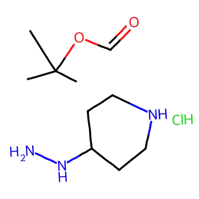 CC(C)(C)OC=O.Cl.NNC1CCNCC1